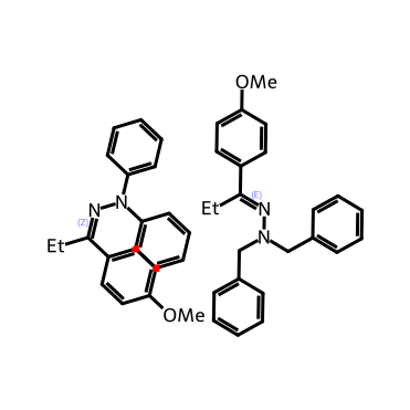 CC/C(=N/N(c1ccccc1)c1ccccc1)c1ccc(OC)cc1.CC/C(=N\N(Cc1ccccc1)Cc1ccccc1)c1ccc(OC)cc1